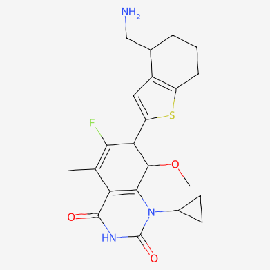 COC1c2c(c(=O)[nH]c(=O)n2C2CC2)C(C)=C(F)C1c1cc2c(s1)CCCC2CN